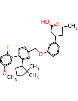 CCC[C@H](CC(=O)O)c1cccc(OCc2ccc(-c3cc(OC)ccc3F)c(C3CCCC3(C)C)c2)c1